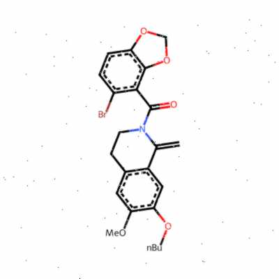 C=C1c2cc(OCCCC)c(OC)cc2CCN1C(=O)c1c(Br)ccc2c1OCO2